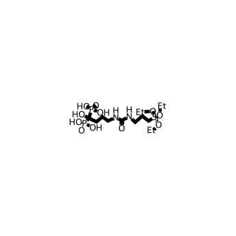 CCO[Si](CCCNC(=O)NCCCC(O)(P(=O)(O)O)P(=O)(O)O)(OCC)OCC